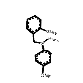 CCCCCCN(Cc1ccccc1OC)c1ccc(OC)cc1